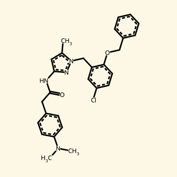 Cc1cc(NC(=O)Cc2ccc(N(C)C)cc2)nn1Cc1cc(Cl)ccc1OCc1ccccc1